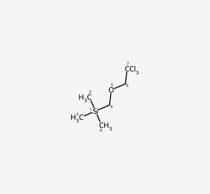 C[Si](C)(C)COCC(Cl)(Cl)Cl